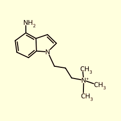 C[N+](C)(C)CCCn1ccc2c(N)cccc21